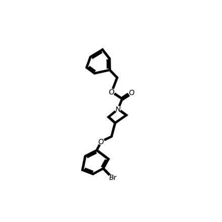 O=C(OCc1ccccc1)N1CC(COc2cccc(Br)c2)C1